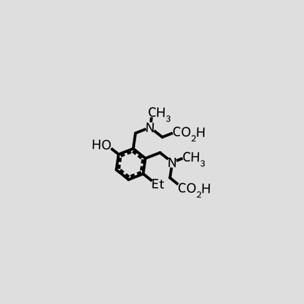 CCc1ccc(O)c(CN(C)CC(=O)O)c1CN(C)CC(=O)O